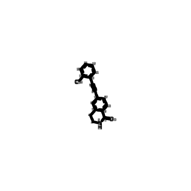 O=C1NCCc2cc(C#Cc3ccccc3Cl)ccc21